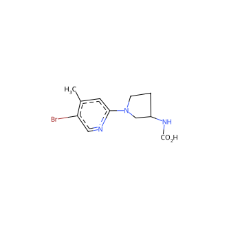 Cc1cc(N2CCC(NC(=O)O)C2)ncc1Br